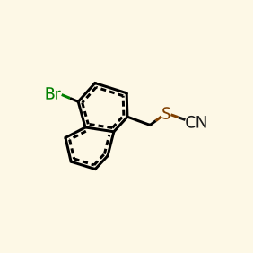 N#CSCc1ccc(Br)c2ccccc12